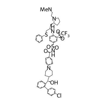 CNCCN1CCC[C@H]1C[C@H](CSc1ccccc1)Nc1ccc(S(=O)(=O)NC(=O)c2ccc(N3CCC([C@@H](O)c4ccccc4-c4ccc(Cl)cc4)CC3)cc2)cc1S(=O)(=O)C(F)(F)F